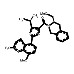 COC[C@H]1Cc2ccccc2CN1C(=O)c1nc(-c2ccc(OC)c3nc(C(F)(F)F)ccc23)oc1[C@H](C)N